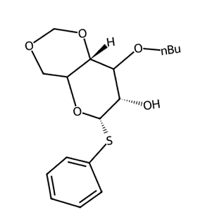 CCCCOC1[C@H]2OCOCC2O[C@@H](Sc2ccccc2)[C@H]1O